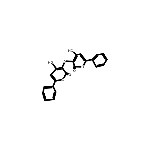 O=c1oc(-c2ccccc2)cc(O)c1Sc1c(O)cc(-c2ccccc2)oc1=O